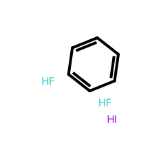 F.F.I.c1ccccc1